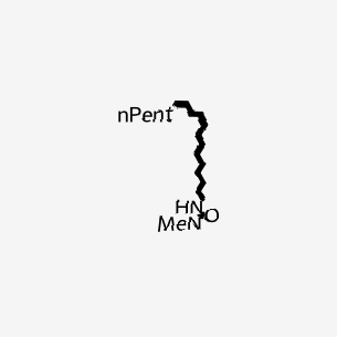 CCCCC/C=C\C/C=C\CCCCCCCCNC(=O)NC